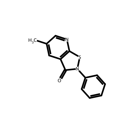 Cc1cnc2sn(-c3ccccc3)c(=O)c2c1